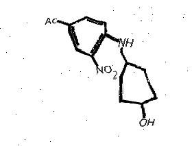 CC(=O)c1ccc(NC2CCC(O)CC2)c([N+](=O)[O-])c1